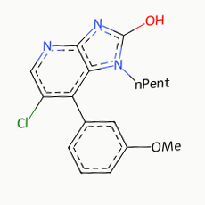 CCCCCn1c(O)nc2ncc(Cl)c(-c3cccc(OC)c3)c21